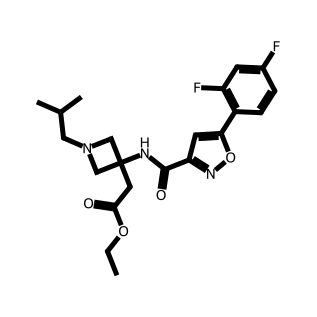 CCOC(=O)CC1(NC(=O)c2cc(-c3ccc(F)cc3F)on2)CN(CC(C)C)C1